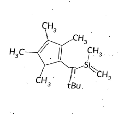 C=[Si](C)[Ti]([C]1=C(C)C(C)=C(C)C1C)[C](C)(C)C